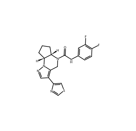 O=C(Nc1ccc(F)c(F)c1)N1Cc2c(-c3cscn3)cnn2[C@@H]2CCC[C@@H]21